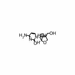 Nc1ccn([C@@H]2OC3(CO)CO[C@@H]2[C@@H]3O)c(=O)n1